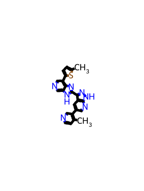 Cc1ccc(-c2cncc3[nH]c(-c4n[nH]c5ncc(-c6cnccc6C)cc45)nc23)s1